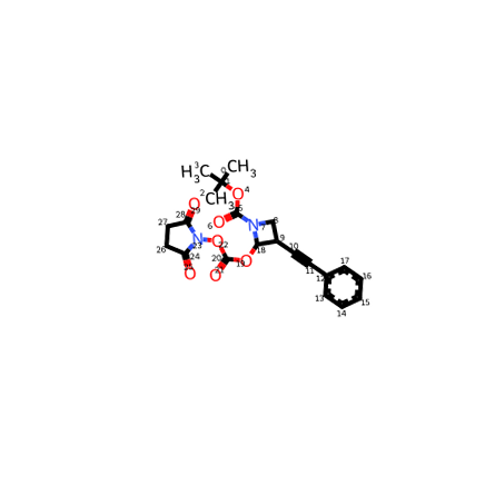 CC(C)(C)OC(=O)N1CC(C#Cc2ccccc2)C1OC(=O)ON1C(=O)CCC1=O